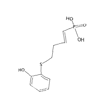 O=P(O)(O)/C=C/CCSc1ccccc1O